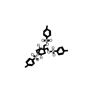 Cc1ccc(S(=O)(=O)OCC2(COS(=O)(=O)c3ccc(C)cc3)C[C@H]3C[C@@H]2CN3S(=O)(=O)c2ccc(C)cc2)cc1